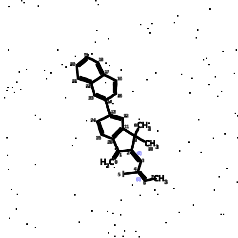 C=C1/C(=C\C(I)=C/C)C(C)(C)c2cc(-c3ccc4ccccc4c3)ccc21